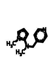 CN(Cc1ccncc1)c1cccn1C